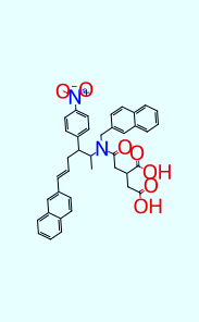 CC(C(C/C=C/c1ccc2ccccc2c1)c1ccc([N+](=O)[O-])cc1)N(Cc1ccc2ccccc2c1)C(=O)CC(CC(=O)O)C(=O)O